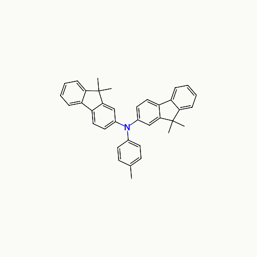 Cc1ccc(N(c2ccc3c(c2)C(C)(C)c2ccccc2-3)c2ccc3c(c2)C(C)(C)c2ccccc2-3)cc1